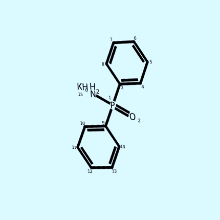 NP(=O)(c1ccccc1)c1ccccc1.[KH]